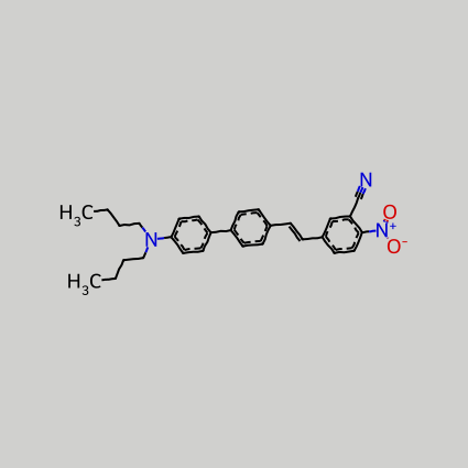 CCCCN(CCCC)c1ccc(-c2ccc(C=Cc3ccc([N+](=O)[O-])c(C#N)c3)cc2)cc1